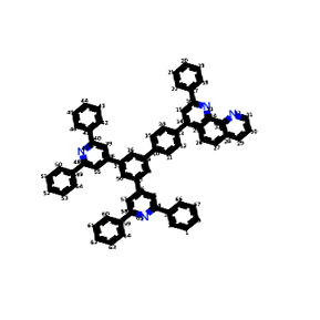 c1ccc(-c2cc(-c3cc(-c4ccc(-c5cc(-c6ccccc6)nc6c5ccc5cccnc56)cc4)cc(-c4cc(-c5ccccc5)nc(-c5ccccc5)c4)c3)cc(-c3ccccc3)n2)cc1